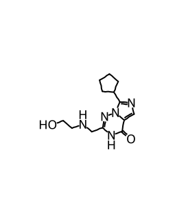 O=c1[nH]c(CNCCO)nn2c(C3CCCC3)ncc12